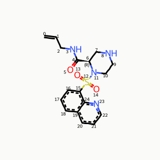 C=CCNC(=O)[C@H]1CNCCN1S(=O)(=O)c1cccc2cccnc12